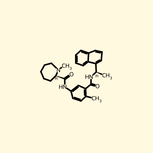 Cc1ccc(NC(=O)[C@H]2CCCCCN2C)cc1C(=O)N[C@H](C)c1cccc2ccccc12